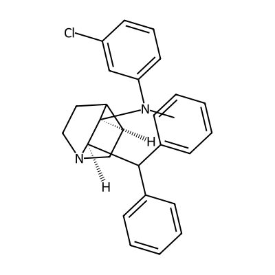 CN(c1cccc(Cl)c1)[C@@H]1C2CCN(CC2)[C@@H]1C(c1ccccc1)c1ccccc1